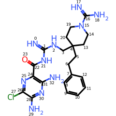 N=C(NCC1(CCc2ccccc2)CCN(C(=N)N)CC1)NC(=O)c1nc(Cl)c(N)nc1N